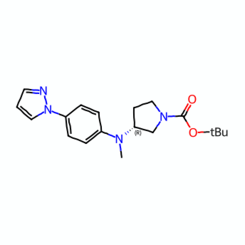 CN(c1ccc(-n2cccn2)cc1)[C@@H]1CCN(C(=O)OC(C)(C)C)C1